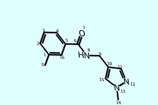 Cc1cccc(C(=O)NCc2cnn(C)c2)c1